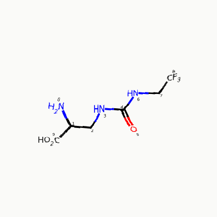 NC(CNC(=O)NCC(F)(F)F)C(=O)O